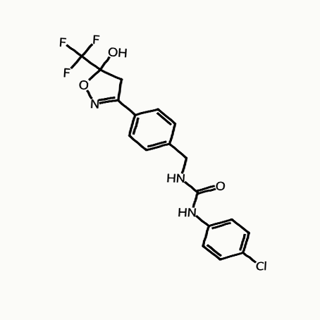 O=C(NCc1ccc(C2=NOC(O)(C(F)(F)F)C2)cc1)Nc1ccc(Cl)cc1